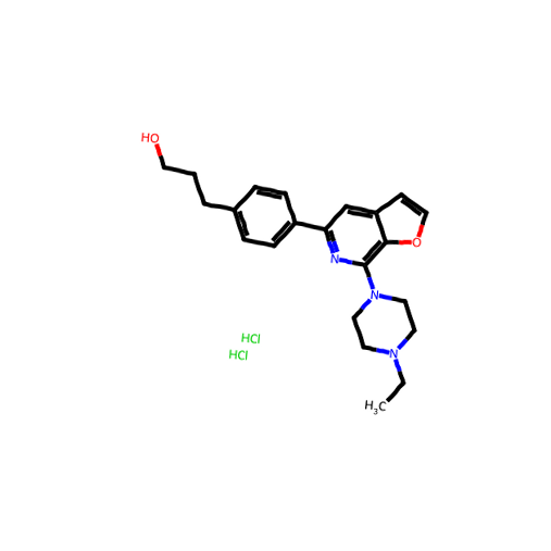 CCN1CCN(c2nc(-c3ccc(CCCO)cc3)cc3ccoc23)CC1.Cl.Cl